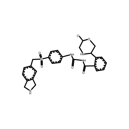 O=C(NC(=O)c1ccccc1C1COC(Cl)CN1)Nc1ccc(S(=O)(=O)Cc2ccc3c(c2)CNC3)cc1